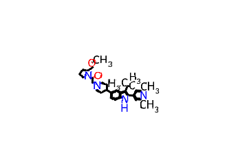 COCC1CCCN1C(=O)CN1CCC(c2ccc3[nH]c(-c4cc(C)nc(C)c4)c(C(C)C)c3c2)CC1